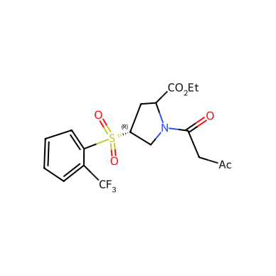 CCOC(=O)C1C[C@@H](S(=O)(=O)c2ccccc2C(F)(F)F)CN1C(=O)CC(C)=O